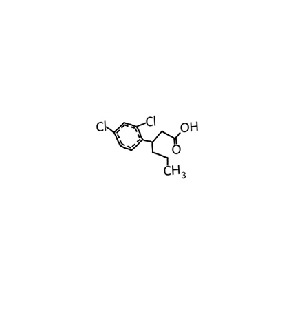 CCCC(CC(=O)O)c1ccc(Cl)cc1Cl